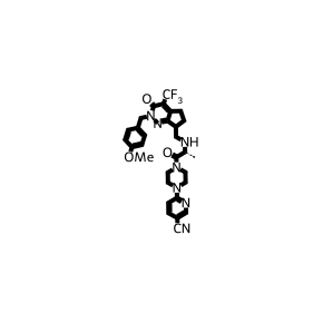 COc1ccc(Cn2nc3c(c(C(F)(F)F)c2=O)CCC3CN[C@H](C)C(=O)N2CCN(c3ccc(C#N)cn3)CC2)cc1